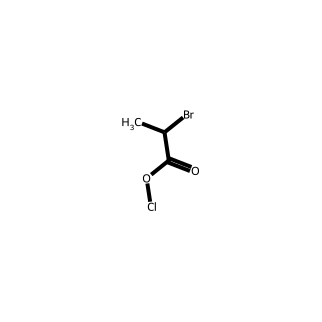 CC(Br)C(=O)OCl